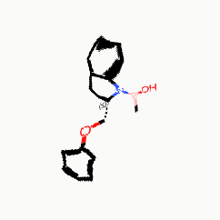 CB(O)N1c2ccccc2C[C@H]1COc1ccccc1